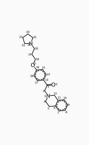 O=C(CN1CCc2ccccc2C1)c1ccc(OCCCN2CCCC2)cc1